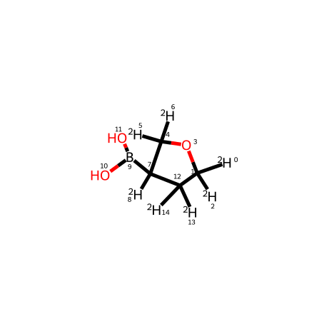 [2H]C1([2H])OC([2H])([2H])C([2H])(B(O)O)C1([2H])[2H]